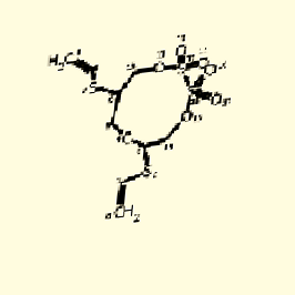 C=CSC1CCC(SC=C)COS(=O)(=O)S(=O)(=O)OC1